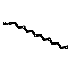 COCCOCCOCCOCCCCl